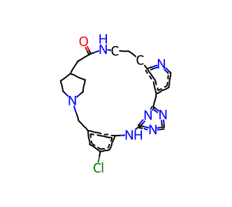 O=C1CC2CCN(CC2)Cc2cc(Cl)cc(c2)Nc2ncnc(n2)-c2ccnc(c2)CCCN1